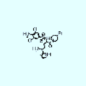 CCC1CCN(C(=O)C(CCC(N)c2ncc[nH]2)NS(=O)(=O)c2cc(Cl)c(N)c(Cl)c2)CC1